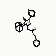 CC(CC(=O)OCc1ccccc1)CC12CC3CC(C1)C(NC(=O)Nc1cccnc1)C(C3)C2